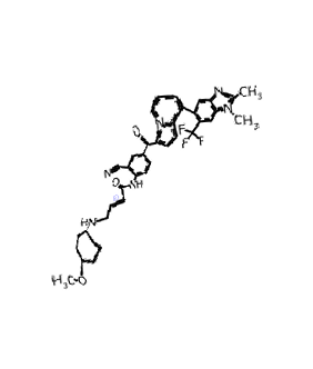 CO[C@H]1CC[C@H](NC/C=C/C(=O)Nc2ccc(C(=O)c3ccc4c(-c5cc6nc(C)n(C)c6cc5C(F)(F)F)cccn34)cc2C#N)CC1